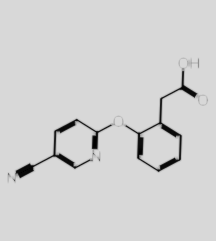 N#Cc1ccc(Oc2ccccc2CC(=O)O)nc1